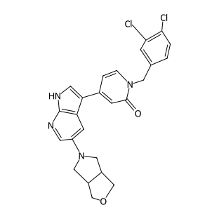 O=c1cc(-c2c[nH]c3ncc(N4CC5COCC5C4)cc23)ccn1Cc1ccc(Cl)c(Cl)c1